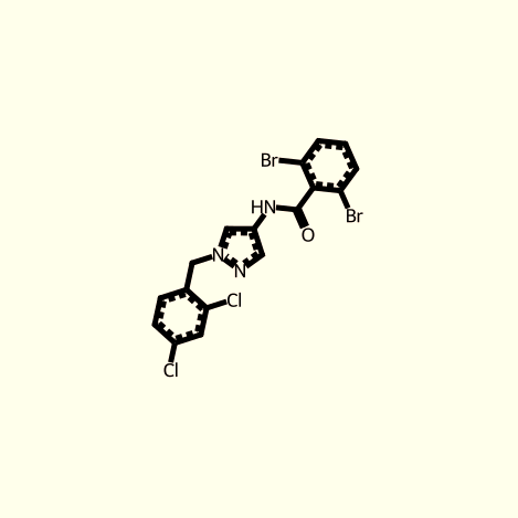 O=C(Nc1cnn(Cc2ccc(Cl)cc2Cl)c1)c1c(Br)cccc1Br